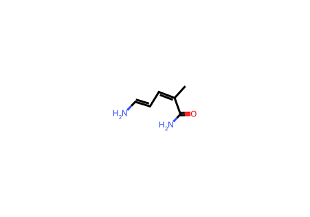 CC(=CC=CN)C(N)=O